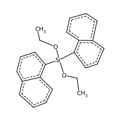 CCO[Si](OCC)(c1cccc2ccccc12)c1cccc2ccccc12